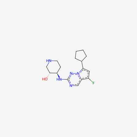 O[C@@H]1CNCC[C@H]1Nc1ncc2c(F)cc(C3CCCC3)n2n1